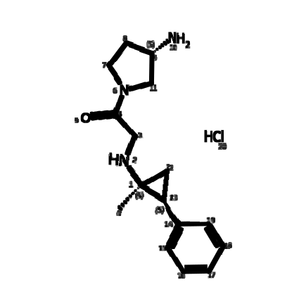 C[C@]1(NCC(=O)N2CC[C@H](N)C2)C[C@H]1c1ccccc1.Cl